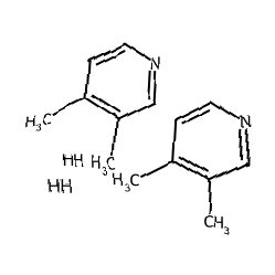 Cc1ccncc1C.Cc1ccncc1C.[HH].[HH]